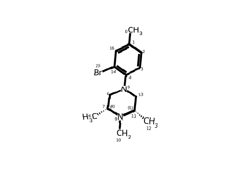 Cc1ccc(N2C[C@@H](C)N(C)[C@@H](C)C2)c(Br)c1